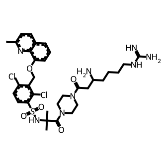 Cc1ccc2cccc(OCc3c(Cl)ccc(S(=O)(=O)NC(C)(C)C(=O)N4CCN(C(=O)CC(N)CCCCNC(=N)N)CC4)c3Cl)c2n1